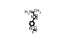 C[C@H](N)c1nc(-c2ccc(F)c(OC(F)(F)F)c2)no1